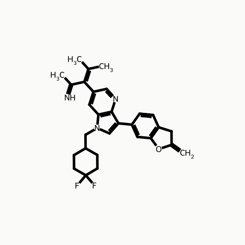 C=C1Cc2ccc(-c3cn(CC4CCC(F)(F)CC4)c4cc(C(C(C)=N)=C(C)C)cnc34)cc2O1